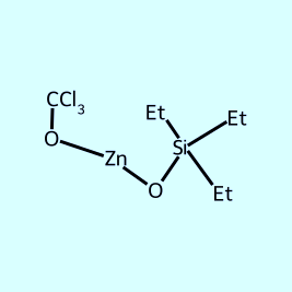 CC[Si](CC)(CC)[O][Zn][O]C(Cl)(Cl)Cl